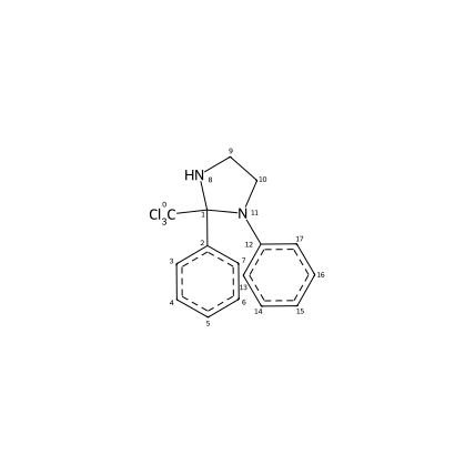 ClC(Cl)(Cl)C1(c2ccccc2)NCCN1c1ccccc1